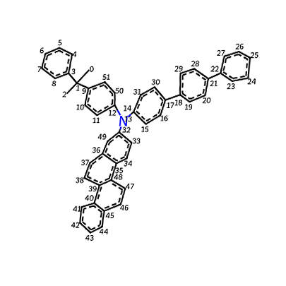 CC(C)(c1ccccc1)c1ccc(N(c2ccc(-c3ccc(-c4ccccc4)cc3)cc2)c2ccc3c(ccc4c5ccccc5ccc34)c2)cc1